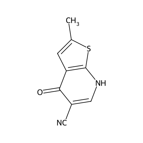 Cc1cc2c(=O)c(C#N)c[nH]c2s1